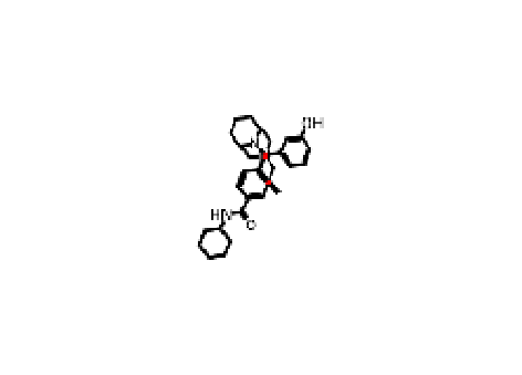 C=CCN1CC2CCCC(C1)N2C(c1ccc(C(=O)NC2CCCCC2)cc1)c1cccc(O)c1